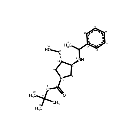 CC(N[C@H]1CN(C(=O)OC(C)(C)C)C[C@@H]1CO)c1ccccc1